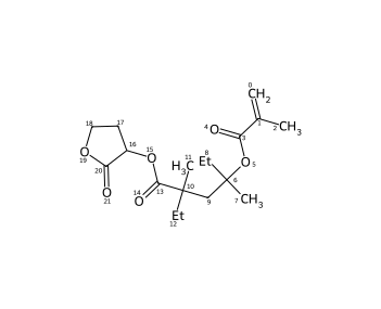 C=C(C)C(=O)OC(C)(CC)CC(C)(CC)C(=O)OC1CCOC1=O